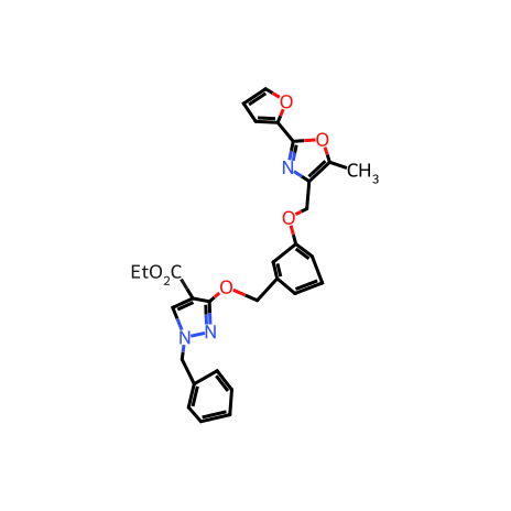 CCOC(=O)c1cn(Cc2ccccc2)nc1OCc1cccc(OCc2nc(-c3ccco3)oc2C)c1